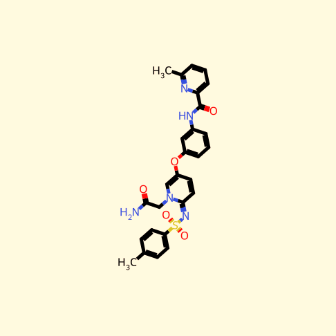 Cc1ccc(S(=O)(=O)/N=c2/ccc(Oc3cccc(NC(=O)c4cccc(C)n4)c3)cn2CC(N)=O)cc1